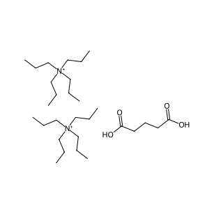 CCC[N+](CCC)(CCC)CCC.CCC[N+](CCC)(CCC)CCC.O=C(O)CCCC(=O)O